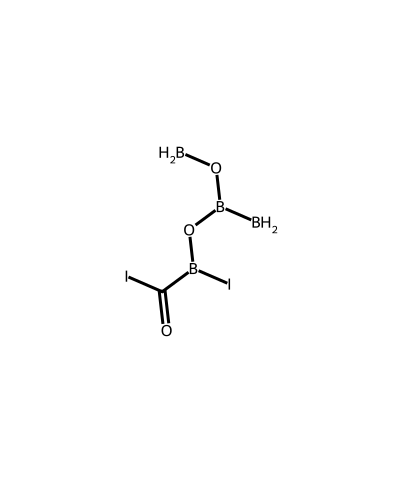 BOB(B)OB(I)C(=O)I